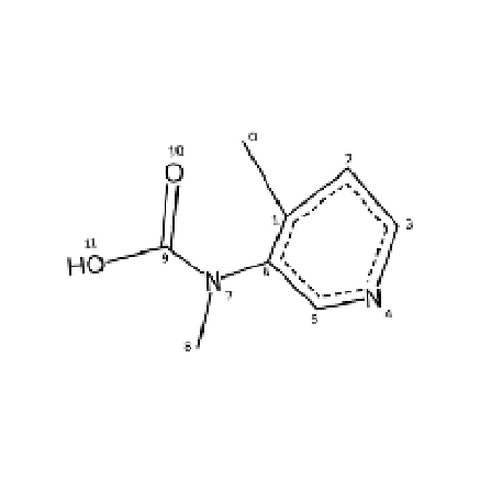 Cc1ccncc1N(C)C(=O)O